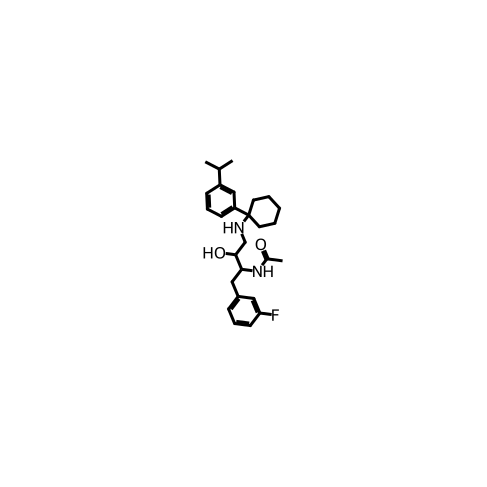 CC(=O)NC(Cc1cccc(F)c1)C(O)CNC1(c2cccc(C(C)C)c2)CCCCC1